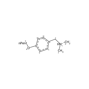 [CH2-][NH+](C)Cc1ccc(OCCCCC)cc1